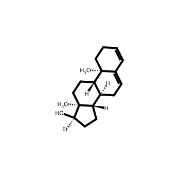 CC[C@@]1(O)CC[C@H]2[C@@H]3CC=C4C=CCC[C@]4(C)[C@H]3CC[C@@]21C